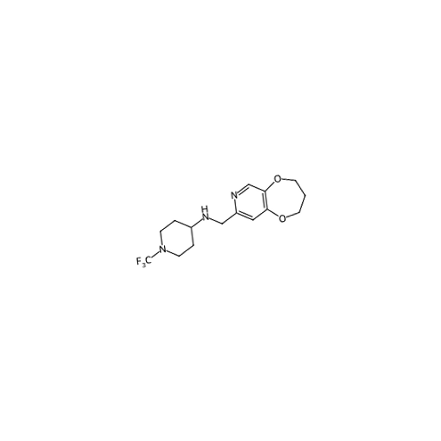 FC(F)(F)N1CCC(NCc2cc3c(cn2)OCCCO3)CC1